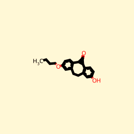 CCCCOc1ccc2c(c1)CCc1cc(O)ccc1-c1c-2c1=O